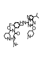 CC(C)c1cnn2c(NCc3ccc(F)c(N(C(=O)C=CCN(C)C)C(=O)C4CCCNC4)c3)nc(OC3CCN(C)CC3)nc12